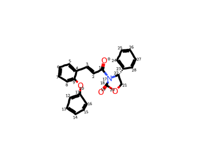 O=C(/C=C/c1ccccc1Oc1ccccc1)N1C(=O)OC[C@H]1c1ccccc1